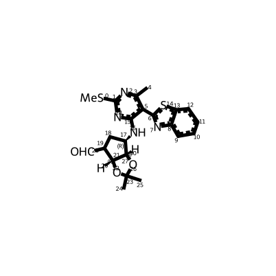 CSc1nc(C)c(-c2nc3ccccc3s2)c(N[C@@H]2CC(C=O)[C@H]3OC(C)(C)O[C@H]32)n1